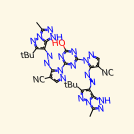 [C-]#[N+]c1cnn(-c2nc(O)nc(-n3ncc(C#N)c3/N=N/c3c(C(C)(C)C)nn4c(C)n[nH]c34)n2)c1/N=N/c1c(C(C)(C)C)nn2c(C)n[nH]c12